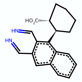 N=Cc1cc2ccccc2c([C@@H]2CCCC[C@H]2C(=O)O)c1C=N